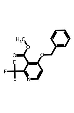 COC(=O)c1c(OCc2ccccc2)ccnc1C(F)(F)F